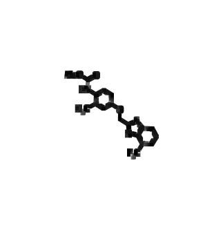 COC(=O)Nc1ccc(OCc2nc3c(C(F)(F)F)cccc3s2)cc1C